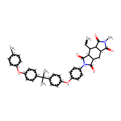 C=CC1C2C(=O)N(C)C(=O)C2CC2C(=O)N(c3ccc(Oc4ccc(C(C)(C)c5ccc(Oc6ccc(C)cc6)cc5)cc4)cc3)C(=O)C21